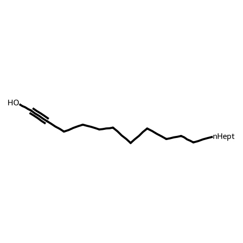 CCCCCCCCCCCCCCCCC#CO